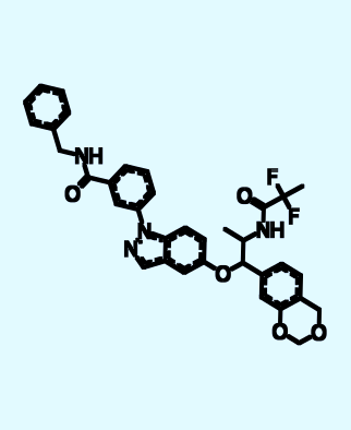 CC(NC(=O)C(C)(F)F)C(Oc1ccc2c(cnn2-c2cccc(C(=O)NCc3ccccc3)c2)c1)c1ccc2c(c1)OCOC2